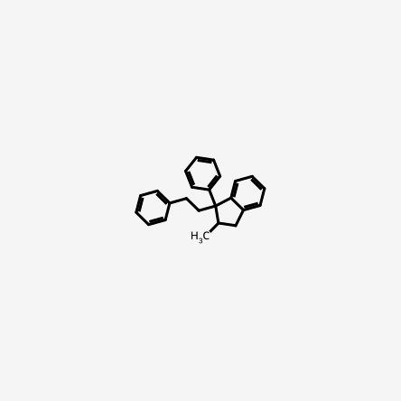 CC1Cc2ccccc2C1(CCc1ccccc1)c1ccccc1